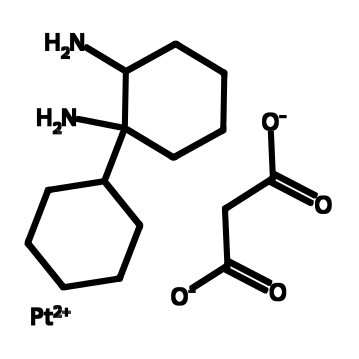 NC1CCCCC1(N)C1CCCCC1.O=C([O-])CC(=O)[O-].[Pt+2]